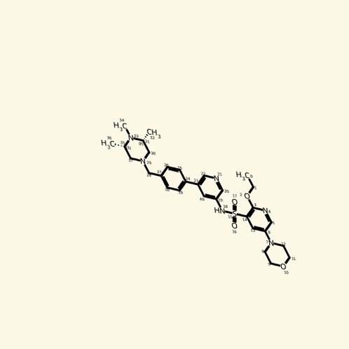 CCOc1ncc(N2CCOCC2)cc1S(=O)(=O)Nc1cncc(-c2ccc(CN3C[C@@H](C)N(C)[C@@H](C)C3)cc2)c1